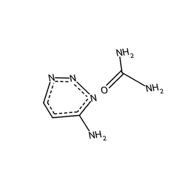 NC(N)=O.Nc1ccnnn1